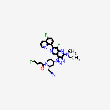 CCN(C)c1nc2c(F)c(-c3ccc(F)c4cccnc34)ncc2c2c1nnn2[C@H]1CCN(C(=O)/C=C/CF)[C@H](CC#N)C1